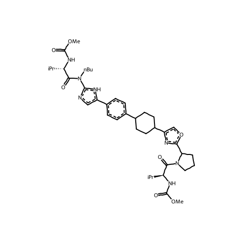 CCCCN(C(=O)[C@@H](NC(=O)OC)C(C)C)c1ncc(-c2ccc(C3CCC(c4coc(C5CCCN5C(=O)[C@@H](NC(=O)OC)C(C)C)n4)CC3)cc2)[nH]1